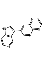 c1cc2[nH]cc(-c3cnc4nccnc4c3)c2cn1